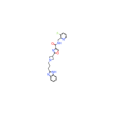 O=C(NCc1ncccc1F)c1coc(C2CN(CCCc3nc4ccccc4[nH]3)C2)n1